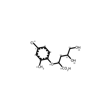 Cc1cc(Cl)ccc1OC(CC(O)CO)C(=O)O